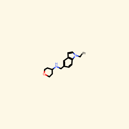 CC(C)Cn1ccc2cc(CNC3CCOCC3)ccc21